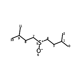 CC(C)CC[S+]([O-])CCC(C)C